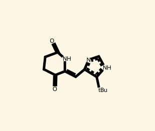 CC(C)(C)c1[nH]cnc1/C=C1\NC(=O)CCC1=O